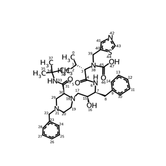 CC(C)[C@@H](C(=O)N[C@@H](Cc1ccccc1)[C@@H](O)CN1CCN(Cc2ccccc2)C[C@H]1C(=O)NC(C)(C)C)N(Cc1cncs1)C(=O)O